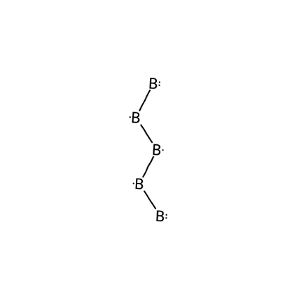 [B][B][B][B][B]